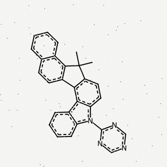 CC1(C)c2ccc3c(c2-c2ccc4ccccc4c21)c1ccccc1n3-c1ncncn1